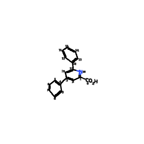 O=C(O)c1cc(-c2ccccc2)cc(-c2ccccc2)n1